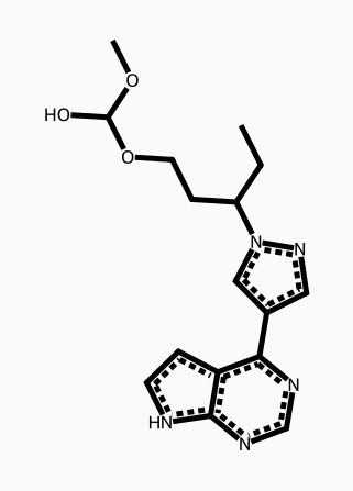 CCC(CCOC(O)OC)n1cc(-c2ncnc3[nH]ccc23)cn1